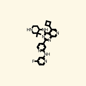 CC1(C)CNCCC1Nc1nc(-c2ccnc(Nc3cc(F)ccn3)c2)nc2cncc(C3CCC3)c12